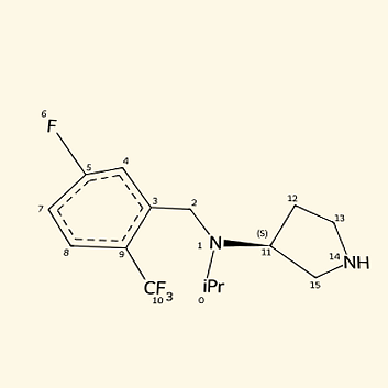 CC(C)N(Cc1cc(F)ccc1C(F)(F)F)[C@H]1CCNC1